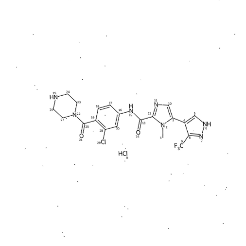 Cl.Cn1c(-c2c[nH]nc2C(F)(F)F)cnc1C(=O)Nc1ccc(C(=O)N2CCNCC2)c(Cl)c1